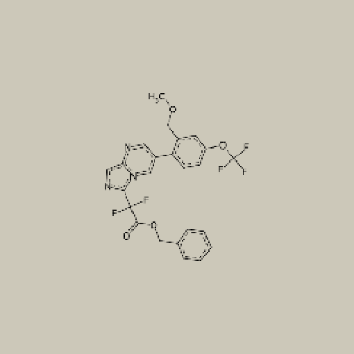 COCc1cc(OC(F)(F)F)ccc1-c1cnc2cnc(C(F)(F)C(=O)OCc3ccccc3)n2c1